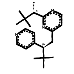 C[C@H](c1nccc(C[C@H](c2ccncc2)C(C)(C)C)n1)C(C)(C)C